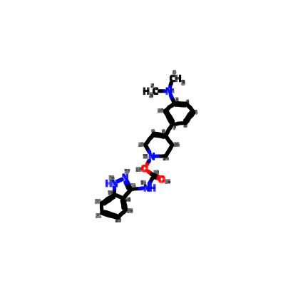 CN(C)c1cccc(C2=CCN(OC(=O)Nc3n[nH]c4ccccc34)CC2)c1